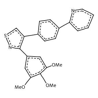 COc1cc(-c2nscc2-c2ccc(-c3ccccn3)cc2)cc(OC)c1OC